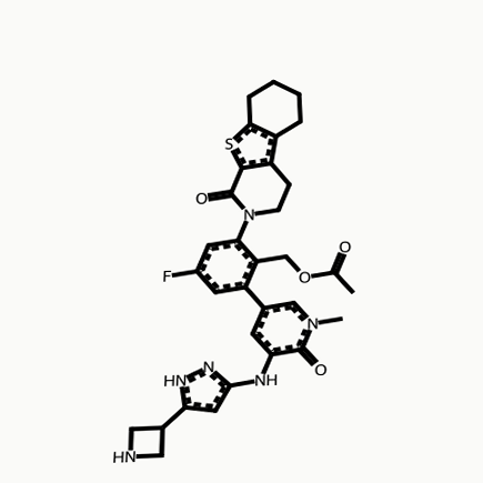 CC(=O)OCc1c(-c2cc(Nc3cc(C4CNC4)[nH]n3)c(=O)n(C)c2)cc(F)cc1N1CCc2c(sc3c2CCCC3)C1=O